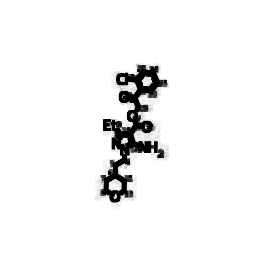 CCc1nn(CCC2CCOCC2)c(N)c1C(=O)OCC(=O)c1ccccc1Cl